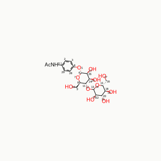 CC(=O)Nc1ccc(O[C@H]2O[C@H](CO)[C@@H](OC3O[C@H](CO)[C@@H](O)[C@H](O)[C@H]3O)[C@H](O)[C@@H]2O)cc1